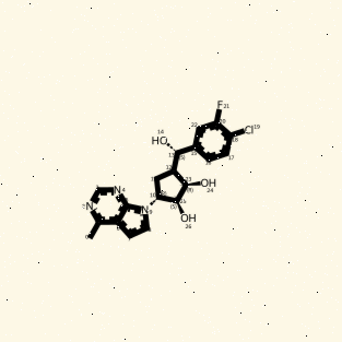 Cc1ncnc2c1ccn2[C@@H]1CC([C@H](O)c2ccc(Cl)c(F)c2)[C@@H](O)[C@H]1O